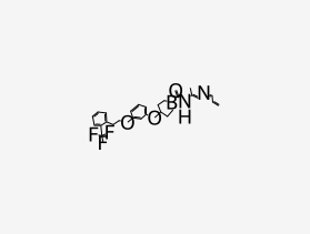 C=C/C=N\C=C(/C)NC(=O)B1CCC(Oc2cccc(OCCc3ccccc3C(F)(F)F)c2)CC1